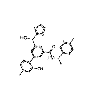 Cc1ccc(-c2cc(C(=O)N[C@H](C)c3ccc(C)nc3)cc(C(O)c3nccs3)c2)c(C#N)c1